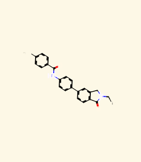 CCCCCc1ccc(C(=O)Nc2ccc(-c3ccc4c(c3)CN([C@H](C(=O)O)C(C)C)C4=O)cc2)cc1